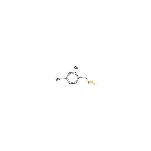 CC(C)c1ccc(CP)cc1.[Ru]